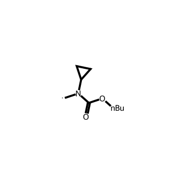 [CH2]N(C(=O)OCCCC)C1CC1